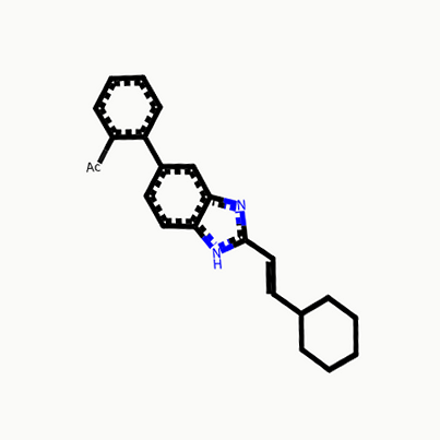 CC(=O)c1ccccc1-c1ccc2[nH]c(C=CC3CCCCC3)nc2c1